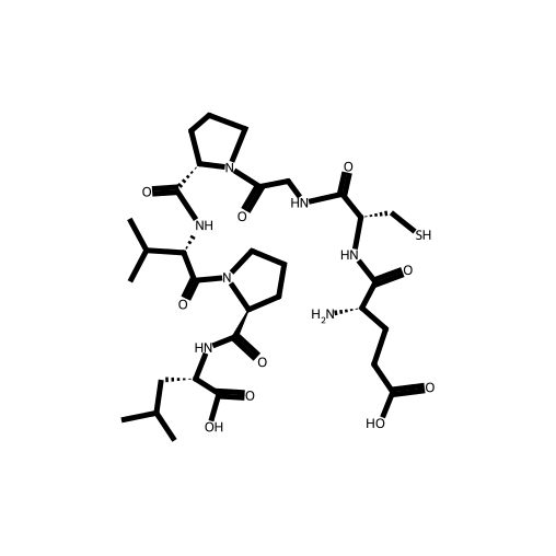 CC(C)C[C@H](NC(=O)[C@@H]1CCCN1C(=O)[C@@H](NC(=O)[C@@H]1CCCN1C(=O)CNC(=O)[C@H](CS)NC(=O)[C@@H](N)CCC(=O)O)C(C)C)C(=O)O